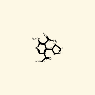 CCCCCC(=O)c1cnc(OC)c(C(N)=O)c1C1CCNC1